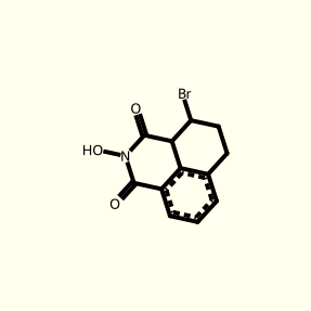 O=C1c2cccc3c2C(C(=O)N1O)C(Br)CC3